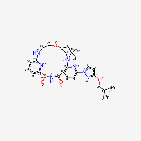 CC(C)C(COc1ccn(-c2ccc3c(n2)N2CC(CC2(C)C)OCCNc2cccc(n2)[S+]([O-])NC3=O)n1)C(C)C